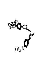 CN(CCOc1ccc(NS(C)(=O)=O)cc1)CCc1ccc(N)cc1